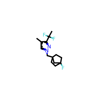 Cc1cn(CC23CCC(F)(CC2)C3)nc1C(C)(F)F